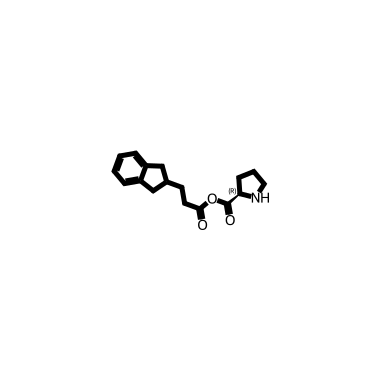 O=C(CCC1Cc2ccccc2C1)OC(=O)[C@H]1CCCN1